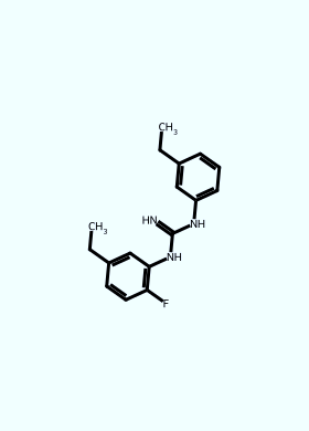 CCc1cccc(NC(=N)Nc2cc(CC)ccc2F)c1